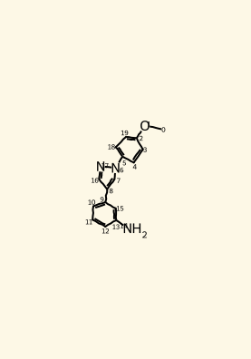 COc1ccc(-n2cc(-c3cccc(N)c3)cn2)cc1